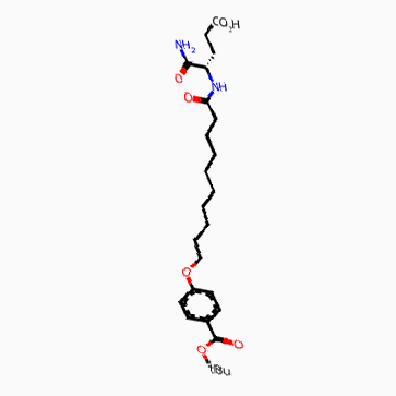 CC(C)(C)OC(=O)c1ccc(OCCCCCCCCCC(=O)N[C@@H](CCC(=O)O)C(N)=O)cc1